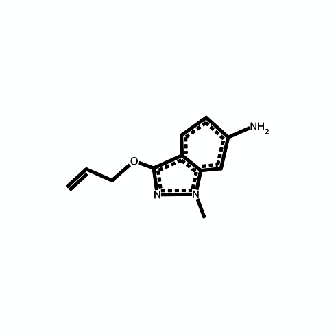 C=CCOc1nn(C)c2cc(N)ccc12